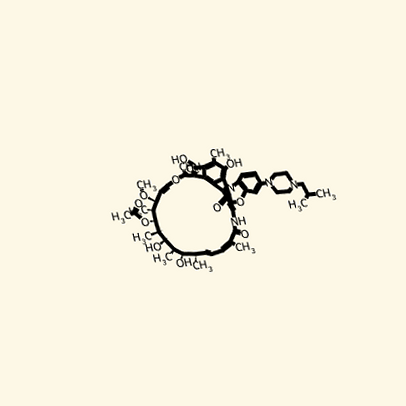 CO[C@H]1/C=C/O[C@@]2(C)Oc3c(C)c(O)c4c(=O)c(c5oc6cc(N7CCN(CC(C)C)CC7)ccc6nc-5c4c3/C2=N/O)NC(=O)/C(C)=C\C=C\[C@H](C)[C@H](O)[C@@H](C)[C@@H](O)[C@@H](C)[C@H](OC(C)=O)[C@@H]1C